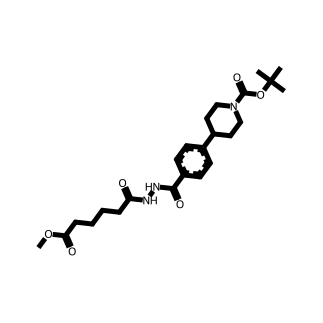 COC(=O)CCCCC(=O)NNC(=O)c1ccc(C2CCN(C(=O)OC(C)(C)C)CC2)cc1